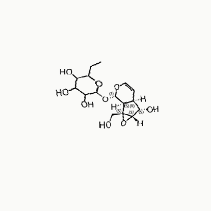 CCC1OC(O[C@@H]2OC=C[C@H]3[C@H](O)[C@@H]4O[C@]4(CO)[C@@H]23)C(O)C(O)C1O